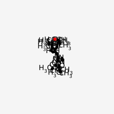 CC(C)[Si]1(C(C)C)OC[C@H]2C(Cn3cnc4c(N(C(=O)OC(C)(C)C)C(=O)OC(C)(C)C)ncnc43)=C[C@H](F)C2O[Si](C(C)C)(C(C)C)O1